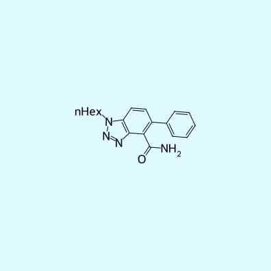 CCCCCCn1nnc2c(C(N)=O)c(-c3ccccc3)ccc21